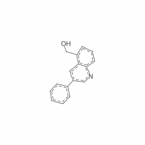 OCc1cccc2ncc(-c3ccccc3)cc12